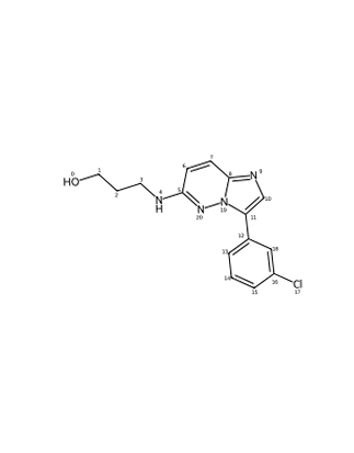 OCCCNc1ccc2ncc(-c3cccc(Cl)c3)n2n1